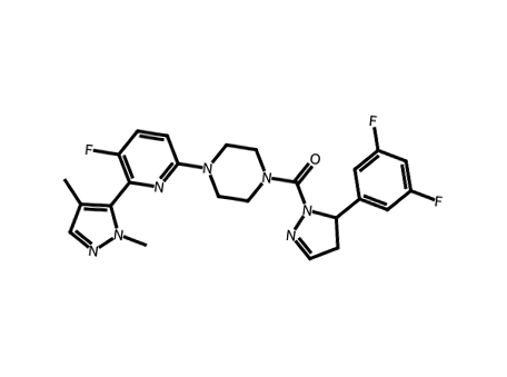 Cc1cnn(C)c1-c1nc(N2CCN(C(=O)N3N=CCC3c3cc(F)cc(F)c3)CC2)ccc1F